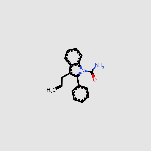 C=CCc1c(-c2ccccc2)n(C(N)=O)c2ccccc12